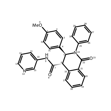 COc1ccc([C@@H]2[C@@H](C(=O)Nc3cccnc3)c3ccccc3C(=O)N2c2ccccc2)cc1